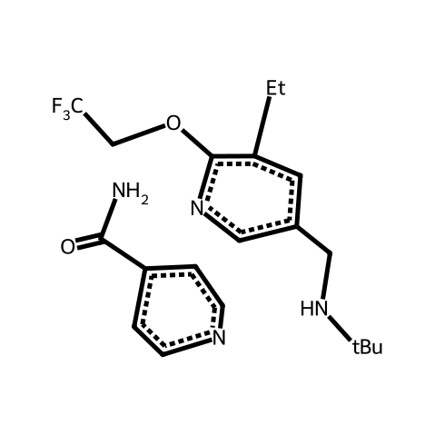 CCc1cc(CNC(C)(C)C)cnc1OCC(F)(F)F.NC(=O)c1ccncc1